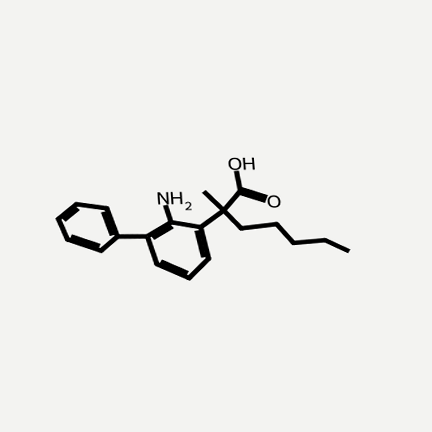 CCCCCC(C)(C(=O)O)c1cccc(-c2ccccc2)c1N